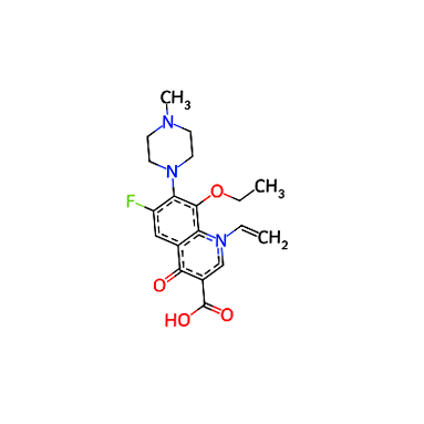 C=Cn1cc(C(=O)O)c(=O)c2cc(F)c(N3CCN(C)CC3)c(OCC)c21